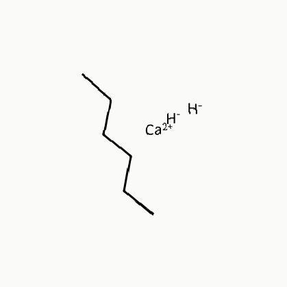 CCCCCC.[Ca+2].[H-].[H-]